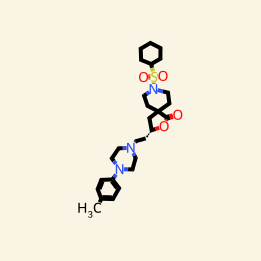 Cc1ccc(N2CCN(CC[C@@H]3CC4(CCN(S(=O)(=O)C5CCCCC5)CC4)C(=O)O3)CC2)cc1